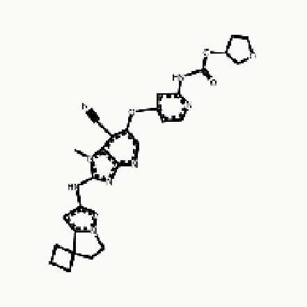 Cn1c(Nc2cc3n(n2)CCC32CCC2)nc2ncc(Oc3ccnc(NC(=O)O[C@H]4CCOC4)c3)c(C#N)c21